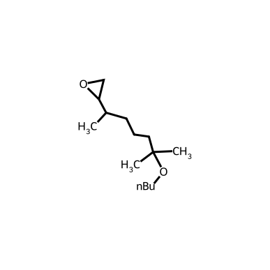 CCCCOC(C)(C)CCCC(C)C1CO1